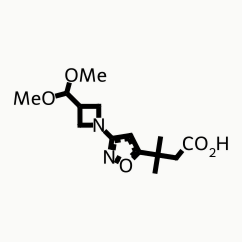 COC(OC)C1CN(c2cc(C(C)(C)CC(=O)O)on2)C1